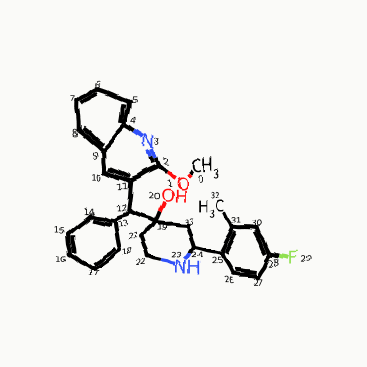 COc1nc2ccccc2cc1C(c1ccccc1)C1(O)CCNC(c2ccc(F)cc2C)C1